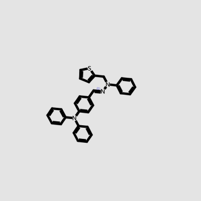 C(=N\N(Cc1cccs1)c1ccccc1)/c1ccc(N(c2ccccc2)c2ccccc2)cc1